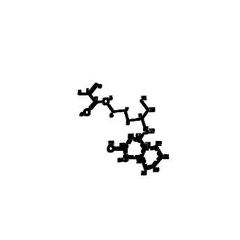 C=C(C)C(=O)OCCCC(CC)Sc1cc(=O)sc2ccccc12